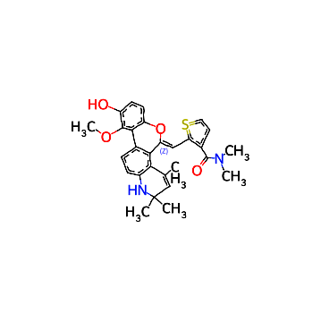 COc1c(O)ccc2c1-c1ccc3c(c1/C(=C/c1sccc1C(=O)N(C)C)O2)C(C)=CC(C)(C)N3